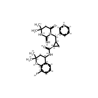 CC1(C)CC(=O)N([C@H](c2cccnc2)C2C[C@H]2C(=O)NC2CC(C)(C)Oc3c(F)cccc32)C(=N)N1